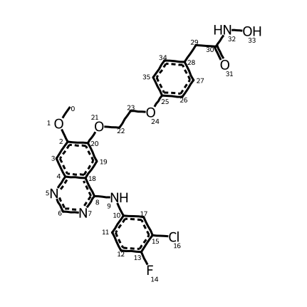 COc1cc2ncnc(Nc3ccc(F)c(Cl)c3)c2cc1OCCOc1ccc(CC(=O)NO)cc1